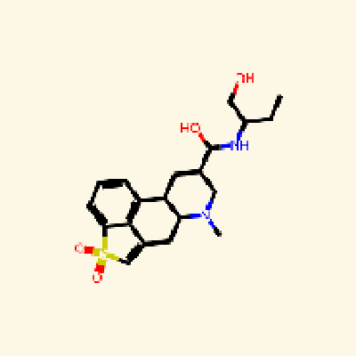 CCC(CO)NC(O)C1CC2c3cccc4c3C(=CS4(=O)=O)CC2N(C)C1